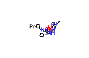 C#CCN1CCC[C@@]12CCN([C@@H](C)C(=O)N[C@@H](Cc1ccccc1)[C@H](O)CNCc1cccc(C(C)C)c1)C2=O